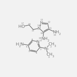 CN(C)c1ccc(N)cn1.Nc1cnn(CCO)c1N